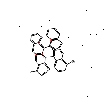 Brc1cccc2c(-c3c(P(c4ccccc4)c4ccccc4)ccc4c(Br)cccc34)c(P(c3ccccc3)c3ccccc3)ccc12